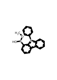 COB(O)c1cccc2c3ccccc3n(-c3ccccc3)c12